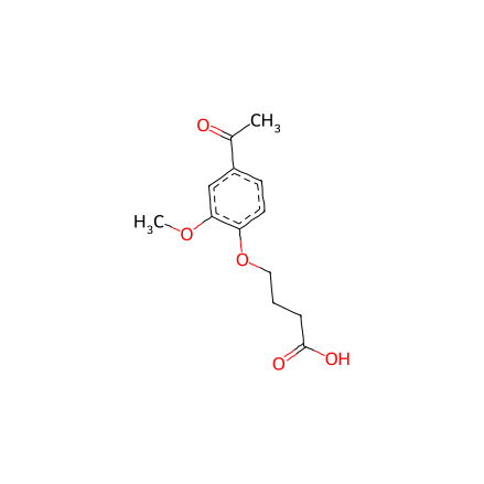 COc1cc(C(C)=O)ccc1OCCCC(=O)O